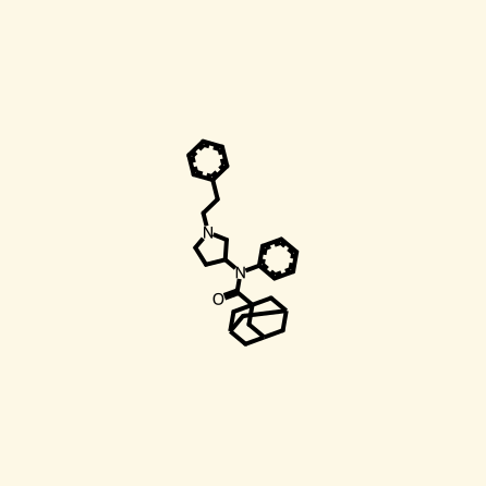 O=C(N(c1ccccc1)C1CCN(CCc2ccccc2)C1)C12CC3CC(CC(C3)C1)C2